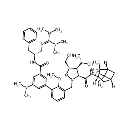 COc1c(CN2O[C@@H](CO)[C@@H]([C@H](C)O)[C@H]2C(=O)N[C@H]2C[C@H]3C[C@@H]([C@@H]2C)C3(C)C)cccc1-c1cc(C(=O)N[C@@H](CN=C(N(C)C)N(C)C)Cc2ccccc2)cc(N(C)C)c1